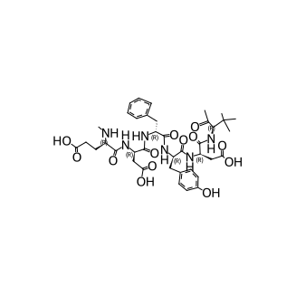 CN[C@H](CCC(=O)O)C(=O)N[C@H](CC(=O)O)C(=O)N[C@H](Cc1ccccc1)C(=O)N[C@H](Cc1ccc(O)cc1)C(=O)N[C@H](CC(=O)O)C(=O)N[C@@H](C(C)=O)C(C)(C)C